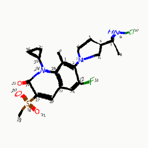 Cc1c(N2CC[C@@H]([C@H](C)NCl)C2)c(F)cc2cc(S(C)(=O)=O)c(=O)n(C3CC3)c12